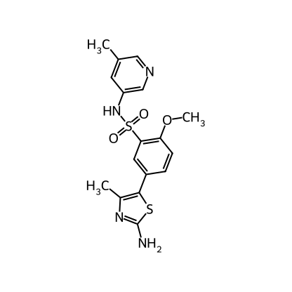 COc1ccc(-c2sc(N)nc2C)cc1S(=O)(=O)Nc1cncc(C)c1